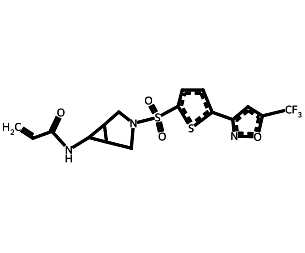 C=CC(=O)NC1C2CN(S(=O)(=O)c3ccc(-c4cc(C(F)(F)F)on4)s3)CC21